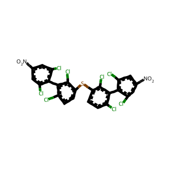 O=[N+]([O-])c1cc(Cl)c(-c2c(Cl)ccc(Sc3ccc(Cl)c(-c4c(Cl)cc([N+](=O)[O-])cc4Cl)c3Cl)c2Cl)c(Cl)c1